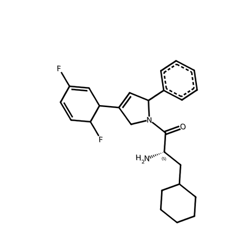 N[C@@H](CC1CCCCC1)C(=O)N1CC(C2C=C(F)C=CC2F)=CC1c1ccccc1